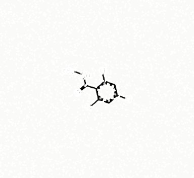 CCCCNC(=O)c1c(Cl)cc(Cl)cc1Cl